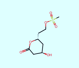 CS(=O)(=O)OCC[C@@H]1C[C@@H](O)CC(=O)O1